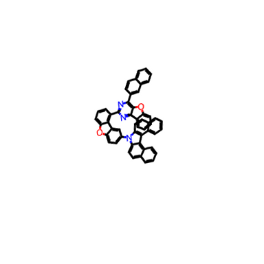 c1ccc2cc(-c3nc(-c4cccc5oc6ccc(-n7c8ccc9ccccc9c8c8c9ccccc9ccc87)cc6c45)nc4c3oc3ccccc34)ccc2c1